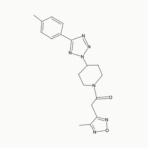 Cc1ccc(-c2nnn(C3CCN(C(=O)Cc4nonc4C)CC3)n2)cc1